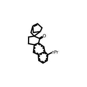 CCCc1cccc2cc3c(cc12)C(=O)C1(CC3)CC2=CCC1C2